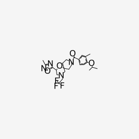 Cc1noc(C2CN(CC(F)(F)F)CC3(CCN(C(=O)c4ccc(OC(C)C)c(C)c4)CC3)O2)n1